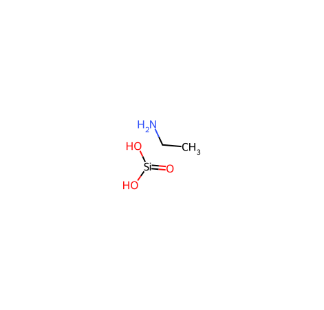 CCN.O=[Si](O)O